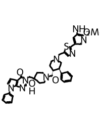 COc1ncc(-c2ncc(CN3CC[C@@H](C(=O)N4CCC(O)(Cn5cnc6c(ccn6-c6ccccc6)c5=O)CC4)[C@H](c4ccccc4)C3)s2)cc1N